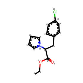 CCOC(=O)C(Cc1ccc(Cl)cc1)n1cccc1